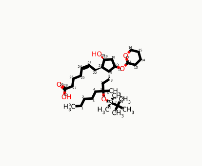 CCCCCC(C)(CC[C@H]1C(OC2CCCCO2)C[C@H](O)[C@@H]1C/C=C\CCCC(=O)O)O[Si](C)(C)C(C)(C)C